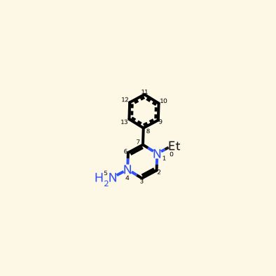 CCN1C=CN(N)C=C1c1ccccc1